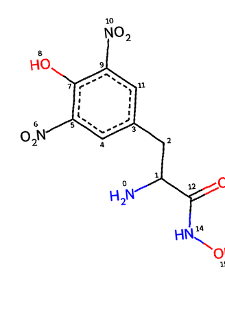 NC(Cc1cc([N+](=O)[O-])c(O)c([N+](=O)[O-])c1)C(=O)NO